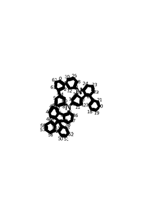 c1ccc(-c2cccc(N(c3ccc4c5c(-c6ccccc6)cccc5n(-c5ccccc5)c4c3)c3cccc4c3-c3ccccc3C4(c3ccccc3)c3ccccc3)c2)cc1